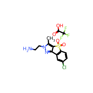 Cc1c2c(nn1CCN)-c1cc(Cl)ccc1S2(=O)=O.O=C(O)C(F)(F)F